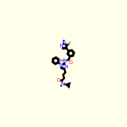 CN(C(=O)CCCc1cn(-c2ccccc2)c(NC(=O)c2cccc(-c3cnn(C)c3F)c2)n1)C1CC1